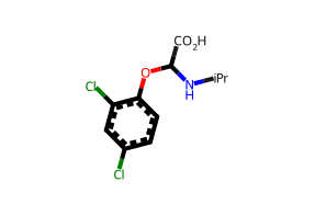 CC(C)NC(Oc1ccc(Cl)cc1Cl)C(=O)O